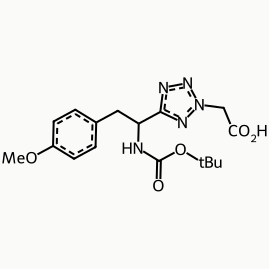 COc1ccc(CC(NC(=O)OC(C)(C)C)c2nnn(CC(=O)O)n2)cc1